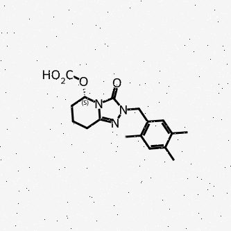 Cc1cc(C)c(Cn2nc3n(c2=O)[C@@H](OC(=O)O)CCC3)cc1C